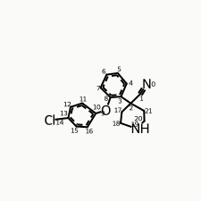 N#CC1(c2ccccc2Oc2ccc(Cl)cc2)CCNCC1